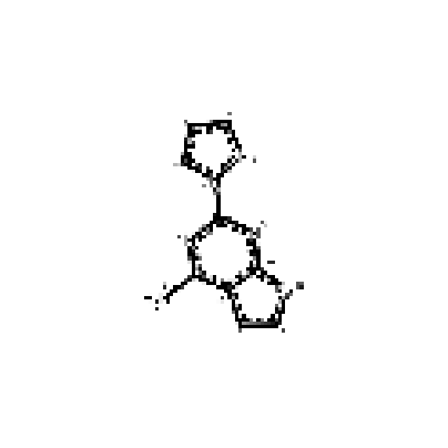 Nc1nc(-n2cccn2)nc2sccc12